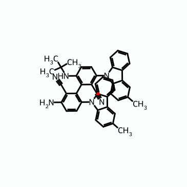 Cc1ccc2c(c1)c1ccccc1n2-c1ccc(NC(C)(C)C)c(-c2c(-n3c4ccccc4c4cc(C)ccc43)ccc(N)c2C#N)c1C#N